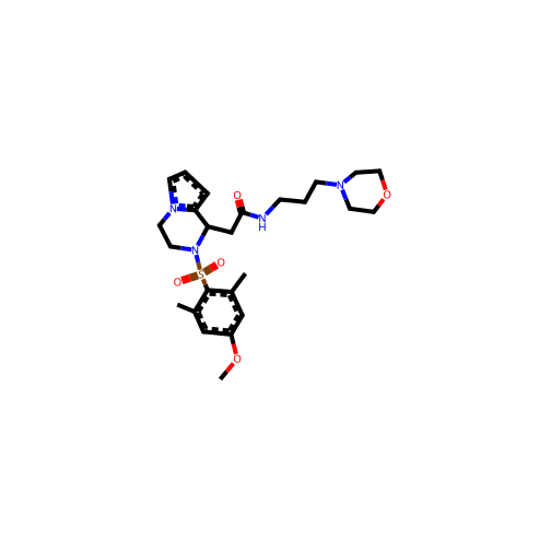 COc1cc(C)c(S(=O)(=O)N2CCn3cccc3C2CC(=O)NCCCN2CCOCC2)c(C)c1